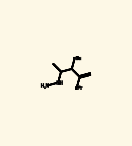 C=C(CCC)C(CCCC)C(C)NN